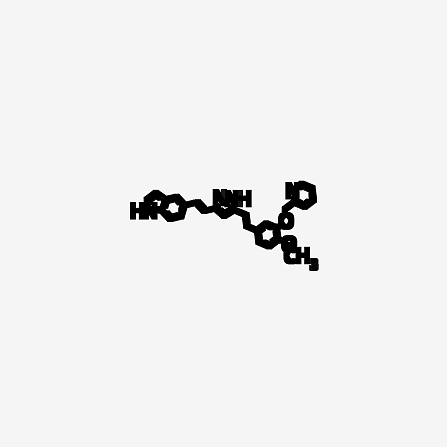 COc1ccc(C=Cc2cc(C=Cc3ccc4[nH]ccc4c3)n[nH]2)cc1OCc1ccccn1